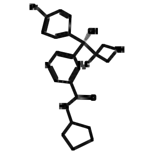 CC(C)c1ccc([C@](O)(c2cncc(C(=O)NC3CCCC3)c2)C2(C)CNC2)cc1